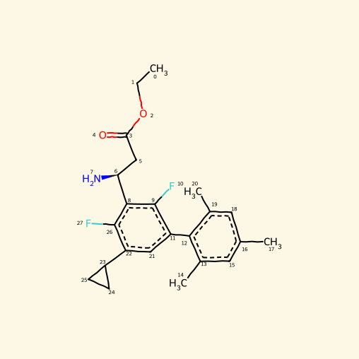 CCOC(=O)C[C@H](N)c1c(F)c(-c2c(C)cc(C)cc2C)cc(C2CC2)c1F